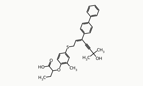 CCC(Oc1ccc(SC/C=C(\C#CC(C)(C)O)c2ccc(-c3ccccc3)cc2)cc1C)C(=O)O